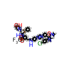 Cc1c(C(=O)N2CCC2)c(-c2cccc(N3CCN(c4ccc(NCCc5ccc(N[C@H](CCN6CCC(C)(O)CC6)CSc6ccccc6)c(S(=O)(=O)C(F)(F)F)c5)cc4)CC3)c2)c(-c2ccc(Cl)cc2)n1C